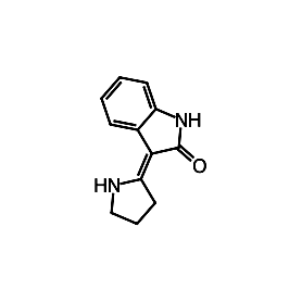 O=C1Nc2ccccc2/C1=C1/CCCN1